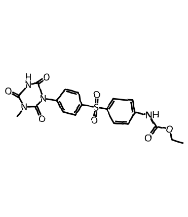 CCOC(=O)Nc1ccc(S(=O)(=O)c2ccc(-n3c(=O)[nH]c(=O)n(C)c3=O)cc2)cc1